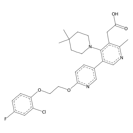 Cc1ncc(-c2ccc(OCCOc3ccc(F)cc3Cl)nc2)c(N2CCC(C)(C)CC2)c1CC(=O)O